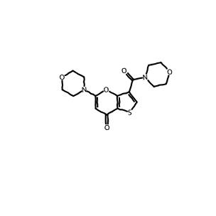 O=C(c1csc2c(=O)cc(N3CCOCC3)oc12)N1CCOCC1